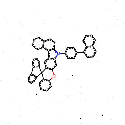 c1ccc2c(c1)Oc1cc3c(cc1C21c2ccccc2-c2ccccc21)c1c2ccccc2ccc1n3-c1ccc(-c2cccc3ccccc23)cc1